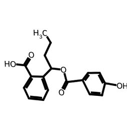 CCCC(OC(=O)c1ccc(O)cc1)c1ccccc1C(=O)O